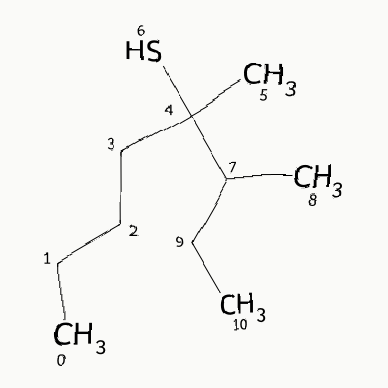 CCCCC(C)(S)C(C)CC